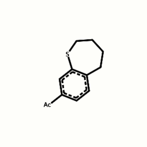 CC(=O)c1ccc2c(c1)SCCCC2